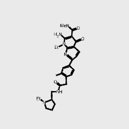 CCN1CCCC1CNC(=O)Cc1ccc(-c2ccc3c(=O)c(C(=O)NC)c(N)n(CC)c3n2)cc1C